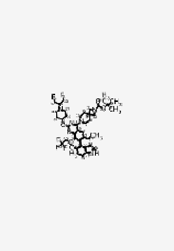 C=Cc1cc2c(N3CCC4(CC3)CN(C(=O)OC(C)(C)C)C4)nc(OC3CCN(C(CF)CF)CC3)nc2c(OCC(F)(F)F)c1-c1c(C)ccc2[nH]ncc12